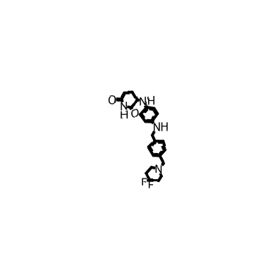 O=C1CCC(Nc2ccc(NCc3ccc(CN4CCC(F)(F)CC4)cc3)cc2)C(=O)N1